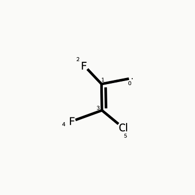 [CH2]/C(F)=C(/F)Cl